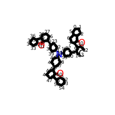 c1ccc2c(c1)ccc1c2oc2cccc(-c3ccc(N(c4ccc(-c5cccc6c5oc5ccccc56)cc4)c4ccc(-c5cccc6c5oc5ccccc56)cc4)cc3)c21